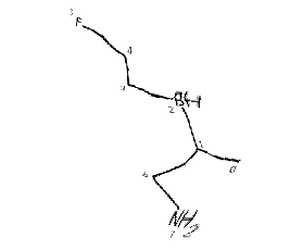 CC(BCCF)CN